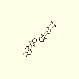 N#Cc1ccc2c3c(ccc(C#N)c13)-c1nc3cc(-c4ccc5nc6c(nc5c4)-c4ccc(F)c5c(F)ccc-6c45)ccc3nc1-2